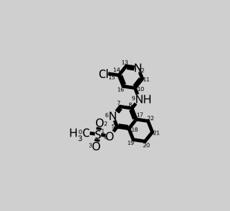 CS(=O)(=O)Oc1ncc(Nc2cncc(Cl)c2)c2c1CCCC2